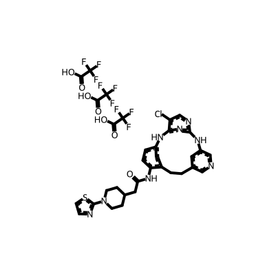 O=C(CC1CCN(c2nccs2)CC1)Nc1ccc2cc1CCc1cncc(c1)Nc1ncc(Cl)c(n1)N2.O=C(O)C(F)(F)F.O=C(O)C(F)(F)F.O=C(O)C(F)(F)F